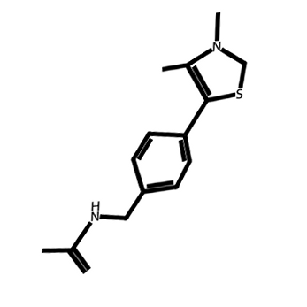 C=C(C)NCc1ccc(C2=C(C)N(C)CS2)cc1